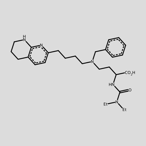 CCN(CC)C(=O)NC(CCN(CCCCc1ccc2c(n1)NCCC2)Cc1ccccc1)C(=O)O